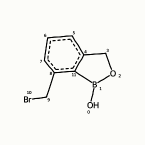 OB1OCc2cccc(CBr)c21